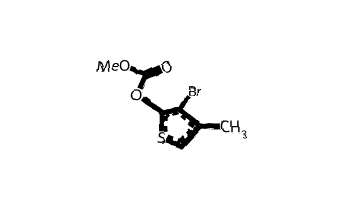 COC(=O)Oc1scc(C)c1Br